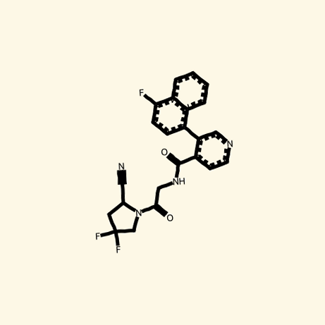 N#CC1CC(F)(F)CN1C(=O)CNC(=O)c1ccncc1-c1ccc(F)c2ccccc12